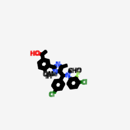 COc1ccc(C(C)O)cc1-c1nc(C)c(C(c2ccc(Cl)cc2)N(C=O)c2cccc(Cl)c2F)n1C(C)C